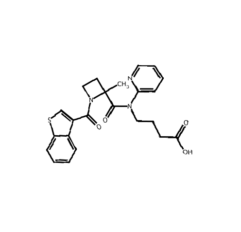 CC1(C(=O)N(CCCC(=O)O)c2ccccn2)CCN1C(=O)c1csc2ccccc12